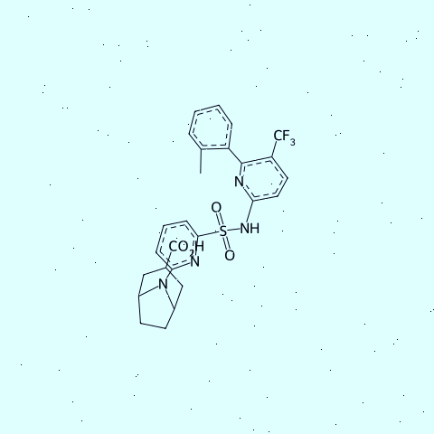 Cc1ccccc1-c1nc(NS(=O)(=O)c2cccc(N3C4CCC3CC(C(=O)O)C4)n2)ccc1C(F)(F)F